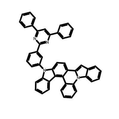 c1ccc(-c2cc(-c3ccccc3)nc(-c3cccc(-n4c5ccccc5c5c6c7ccccc7n7c8ccccc8cc7c6ccc54)c3)n2)cc1